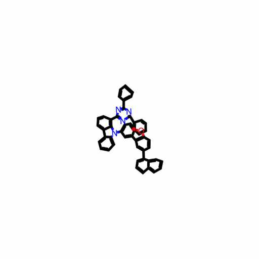 c1ccc(-c2nc(-c3ccccc3)nc(-c3cccc4c5ccccc5n(-c5ccc6oc7ccc(-c8cccc9ccccc89)cc7c6c5)c34)n2)cc1